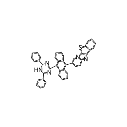 c1ccc(C2=NC(c3c4ccccc4c(-c4ccc5nc6c7ccccc7sc6n5c4)c4ccccc34)=NC(c3ccccc3)N2)cc1